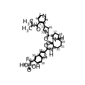 CN(C)C(=O)c1ccncc1C1CN(C(=O)[C@@H]2CC[C@@H]3CCC[C@H](NC(=O)c4cc5cc([C@@H](F)P(=O)(O)O)ccc5s4)C(=O)N32)C1